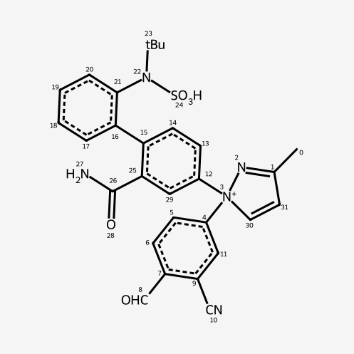 CC1=N[N+](c2ccc(C=O)c(C#N)c2)(c2ccc(-c3ccccc3N(C(C)(C)C)S(=O)(=O)O)c(C(N)=O)c2)C=C1